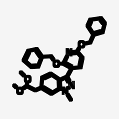 COC(Cc1ccc2c(-c3ccc(OCc4ccccc4)nc3OCc3ccccc3)nn(C)c2c1)OC